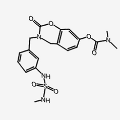 CNS(=O)(=O)Nc1cccc(CN2Cc3ccc(OC(=O)N(C)C)cc3OC2=O)c1